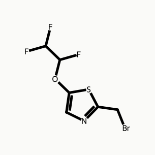 FC(F)C(F)Oc1cnc(CBr)s1